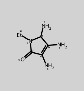 CCN1C(=O)C(N)=C(N)C1N